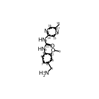 COc1cc(CN)ccc1NC(=O)Nc1cnc(C)cn1